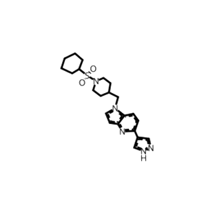 O=S(=O)(C1CCCCC1)N1CCC(Cn2ccc3nc(-c4cn[nH]c4)ccc32)CC1